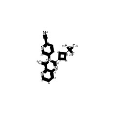 N#Cc1ccc(-n2c(=O)c3ncccc3nc2[C@H]2C[C@@H](C(F)(F)F)C2)cn1